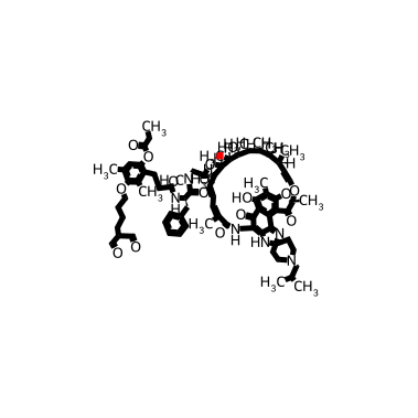 CCC(=O)Oc1cc(C)c(OCCCCC(C=O)C=O)c(C)c1CCC(=O)N[C@@H](Cc1ccccc1)C(=O)N(C)CC(=O)O[C@@H]1[C@@H](C)[C@@H](O)[C@@H](C)[C@H](C)[C@H](C)[C@@H](C)/C=C/O[C@@]2(C)Oc3c(C)c(O)c4c(c3C2=O)C2=NC3(CCN(CC(C)C)CC3)NC2=C(NC(=O)/C(C)=C\C=C\[C@@H]1C)C4=O